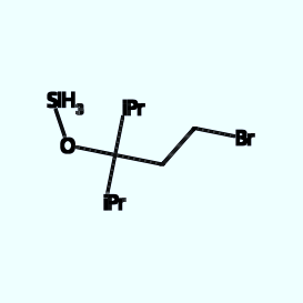 CC(C)C(CCBr)(O[SiH3])C(C)C